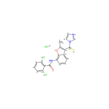 Cc1oc2c(NC(=O)c3c(Cl)cccc3Cl)cccc2c1C(=S)n1ccnc1.Cl